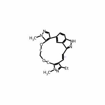 CCc1nn(C)c2c1/C=C/c1n[nH]c3ccc(cc13)-c1cnn(C)c1OCCOC2